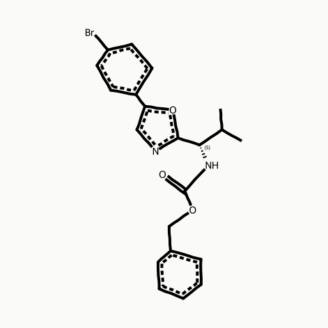 CC(C)[C@H](NC(=O)OCc1ccccc1)c1ncc(-c2ccc(Br)cc2)o1